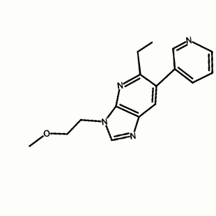 CCc1nc2c(cc1-c1cccnc1)ncn2CCOC